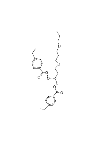 [CH2]CCOCCCOCC[C](OOC(=O)c1ccc(CC)cc1)OOC(=O)c1ccc(CC)cc1